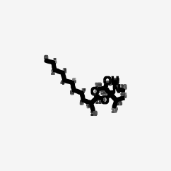 CCCCCCCCCC(C)C(=O)OC(C(C)C)(C(C)O)N(C)C